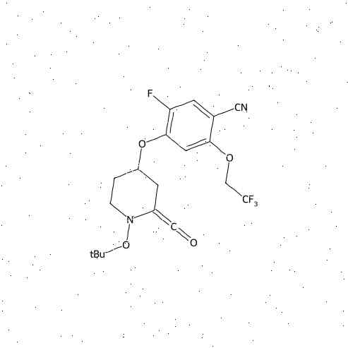 CC(C)(C)ON1CCC(Oc2cc(OCC(F)(F)F)c(C#N)cc2F)CC1=C=O